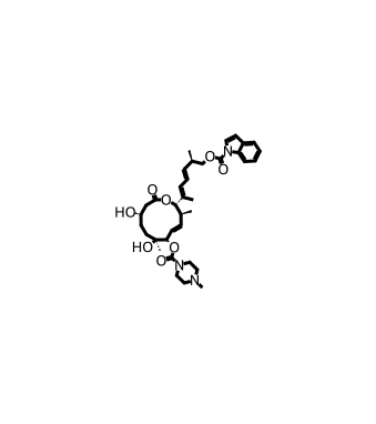 C/C(=C\C=C\[C@@H](C)COC(=O)n1ccc2ccccc21)[C@H]1OC(=O)C[C@@H](O)CC[C@](C)(O)[C@@H](OC(=O)N2CCN(C)CC2)/C=C/[C@@H]1C